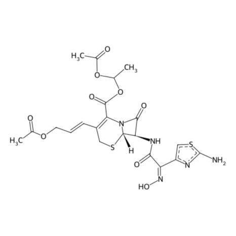 CC(=O)OC/C=C/C1=C(C(=O)OC(C)OC(C)=O)N2C(=O)[C@@H](NC(=O)/C(=N\O)c3csc(N)n3)[C@@H]2SC1